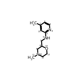 Cc1ccnc(NCC2CN(C)CCO2)c1